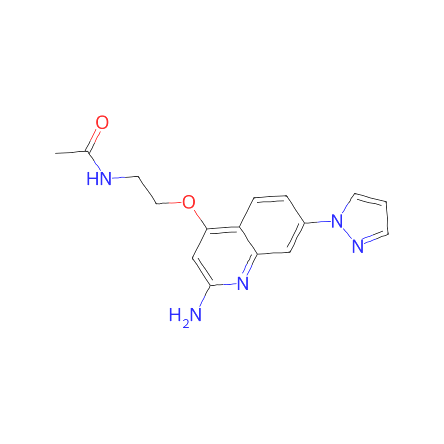 CC(=O)NCCOc1cc(N)nc2cc(-n3cccn3)ccc12